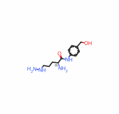 NNCCC[C@H](N)C(=O)Nc1ccc(CO)cc1